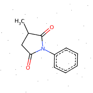 CC1CC(=O)N(c2[c]cccc2)C1=O